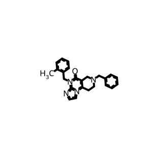 Cc1ccccc1Cn1c(=O)c2c(n3ccnc13)CCN(Cc1ccccc1)C2